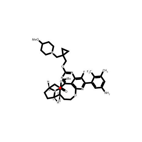 COC1CCN(CC2(COc3nc4c5c(nc(-c6cc(N)cc(C)c6C(F)(F)F)c(F)c5n3)OCC[C@@H]3[C@@H]5CC[C@H](CN43)N5C(=O)OC(C)(C)C)CC2)CC1